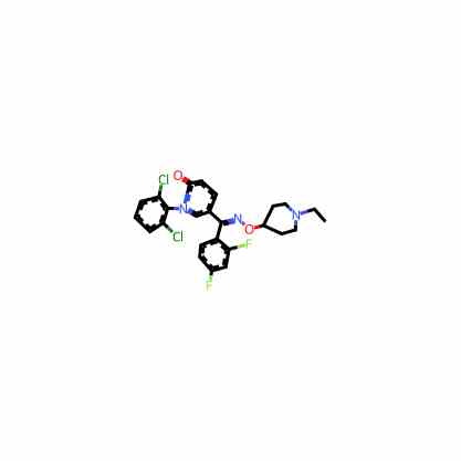 CCN1CCC(O/N=C(/c2ccc(=O)n(-c3c(Cl)cccc3Cl)c2)c2ccc(F)cc2F)CC1